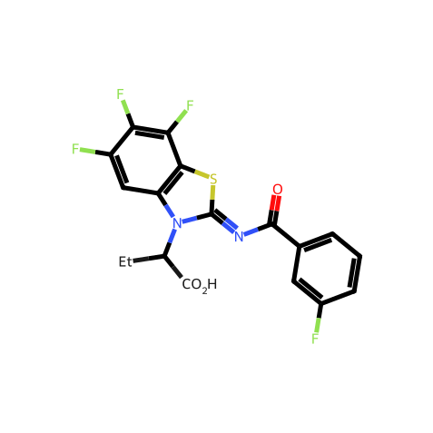 CCC(C(=O)O)n1c(=NC(=O)c2cccc(F)c2)sc2c(F)c(F)c(F)cc21